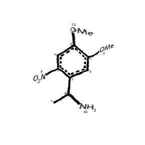 COc1cc(C(C)N)c([N+](=O)[O-])cc1OC